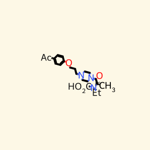 CCN(C(=O)O)[C@H](C)C(=O)N1CCN(CCCOc2ccc(C(C)=O)cc2)CC1